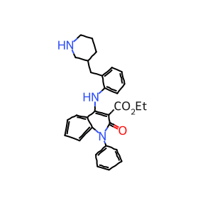 CCOC(=O)c1c(Nc2ccccc2CC2CCCNC2)c2ccccc2n(-c2ccccc2)c1=O